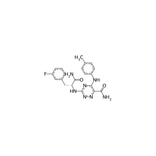 Cc1ccc(Nc2nc(N[C@H](Cc3cccc(F)c3)C(N)=O)nnc2C(N)=O)cc1